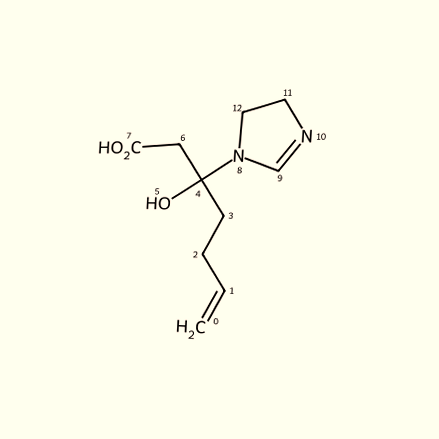 C=CCCC(O)(CC(=O)O)N1C=NCC1